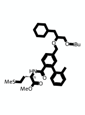 CCC(C)OCC(CC1CCCCC1)OCc1ccc(C(=O)N[C@@H](CCSC)C(=O)OC)c(-c2ccccc2C)c1